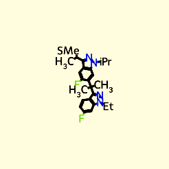 CCn1nc(C(C)(C)c2cc3c(cc2F)c(C(C)SC)nn3C(C)C)c2ccc(F)cc21